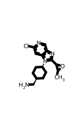 CC1OC1c1nc2cnc(Cl)cc2n1[C@H]1CC[C@H](CN)CC1